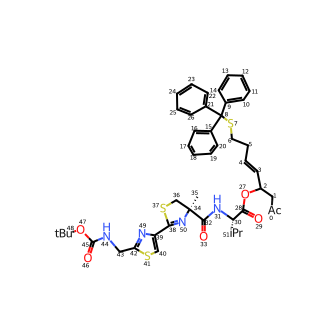 CC(=O)CC(/C=C/CCSC(c1ccccc1)(c1ccccc1)c1ccccc1)OC(=O)[C@@H](NC(=O)[C@]1(C)CSC(c2csc(CNC(=O)OC(C)(C)C)n2)=N1)C(C)C